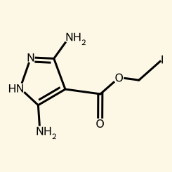 Nc1n[nH]c(N)c1C(=O)OCI